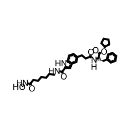 O=C(CCCCCCNC(=O)c1cc2cc(CCC(=O)N[C@@H](Cc3ccccc3)C(=O)OC3CCCC3)ccc2[nH]1)NO